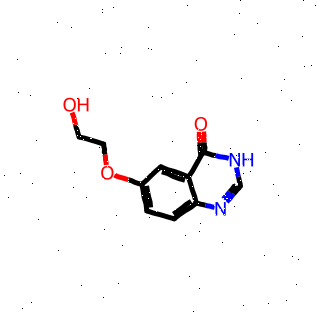 O=c1[nH]cnc2ccc(OCCO)cc12